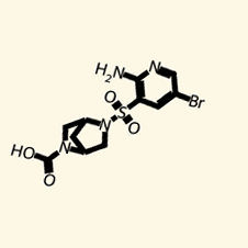 Nc1ncc(Br)cc1S(=O)(=O)N1CC2CC1CN2C(=O)O